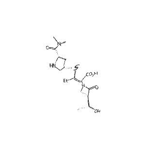 CC/C(S[C@@H]1CN[C@H](C(=O)N(C)C)C1)=C(/C(=O)O)N1C[C@@H]([C@@H](C)O)C1=O